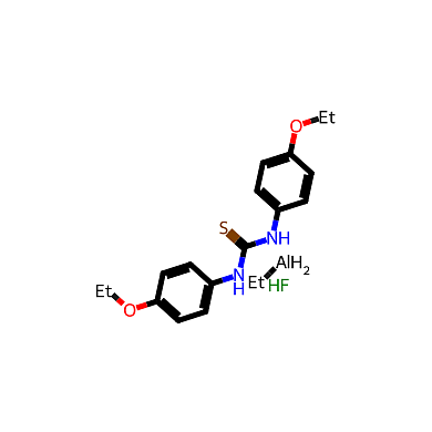 CCOc1ccc(NC(=S)Nc2ccc(OCC)cc2)cc1.C[CH2][AlH2].F